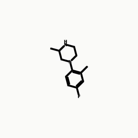 Cc1cc(F)ccc1N1CCNC(C)C1